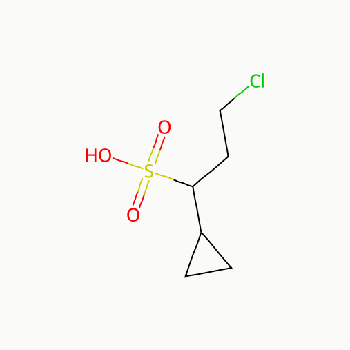 O=S(=O)(O)C(CCCl)C1CC1